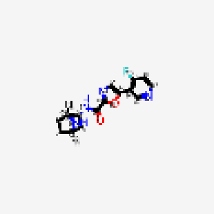 O=C(N[C@@H]1C[C@H]2CC[C@@H]1N2)c1ncc(-c2cnccc2F)o1